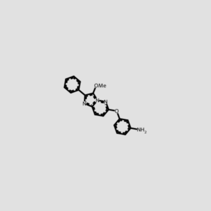 COc1c(-c2ccccc2)nc2ccc(Oc3cccc(N)c3)nn12